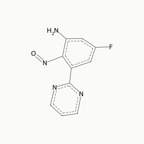 Nc1cc(F)cc(-c2ncccn2)c1N=O